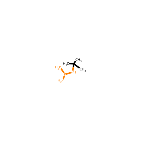 CC(C)(C)PP(P)P